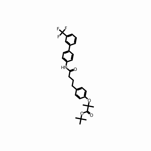 CC(C)(C)OC(=O)C(C)(C)Oc1ccc(CCCC(=O)Nc2ccc(-c3cccc(C(F)(F)F)c3)cc2)cc1